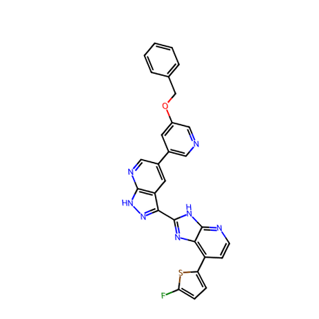 Fc1ccc(-c2ccnc3[nH]c(-c4n[nH]c5ncc(-c6cncc(OCc7ccccc7)c6)cc45)nc23)s1